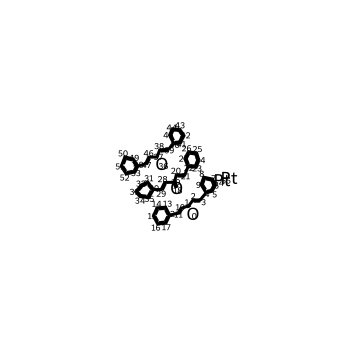 O=C(C=Cc1ccccc1)C=Cc1ccccc1.O=C(C=Cc1ccccc1)C=Cc1ccccc1.O=C(C=Cc1ccccc1)C=Cc1ccccc1.[Pt].[Pt]